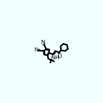 CC1(C)Cc2cc(C#N)c(C#N)cc2C(=CC(=O)C2CCCCC2)N1